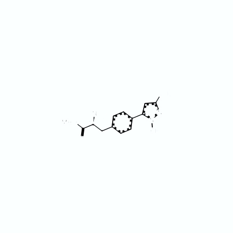 COC(=O)[C@@H](N)Cc1ccc(-c2cc(C)nn2C)cc1